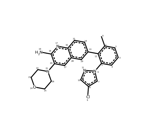 Cc1cccc(-n2cc(Cl)cn2)c1-c1ccc2nc(N)c(N3CCOCC3)cc2c1